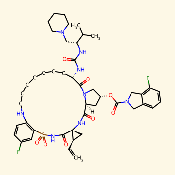 C=C[C@@H]1C[C@@]12NC(=O)[C@@H]1C[C@@H](OC(=O)N3Cc4cccc(F)c4C3)CN1C(=O)[C@@H](NC(=O)N[C@H](CN1CCCCC1)C(C)C)CCCCCCCNc1ccc(F)cc1S(=O)(=O)NC2=O